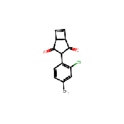 Cc1ccc(C2C(=O)C3C=CC3C2=O)c(Cl)c1